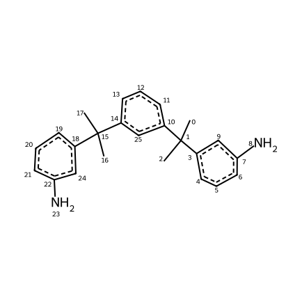 CC(C)(c1cccc(N)c1)c1cccc(C(C)(C)c2cccc(N)c2)c1